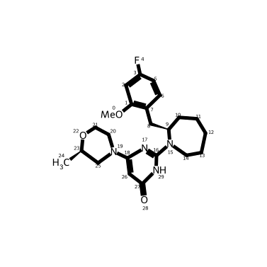 COc1cc(F)ccc1C[C@H]1CCCCCN1c1nc(N2CCO[C@H](C)C2)cc(=O)[nH]1